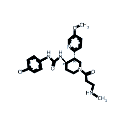 CNCCC(=O)N1CC[C@@H](NC(=O)Nc2ccc(Cl)cc2)[C@H](c2ccc(OC)cn2)C1